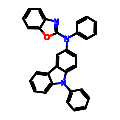 c1ccc(N(c2ccc3c(c2)c2ccccc2n3-c2ccccc2)c2nc3ccccc3o2)cc1